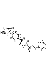 O=C(CCC1C=CC=CC1)N1CCN(C2C=CC(C34CNCC3C4)=CC2)CC1